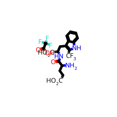 NC(CCC(=O)O)C(=O)NC(Cc1c(C(F)(F)F)[nH]c2ccccc12)C(=O)O.O=C(O)C(F)(F)F